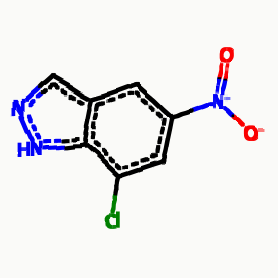 O=[N+]([O-])c1cc(Cl)c2[nH]ncc2c1